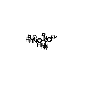 CCOc1ccc2c(-c3nnn[nH]3)c(-c3ccc(NC(=O)NC4CCC4)cc3)n(C3CCC3)c2c1